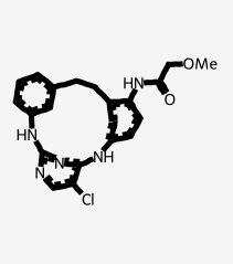 COCC(=O)Nc1ccc2cc1CCc1cccc(c1)Nc1ncc(Cl)c(n1)N2